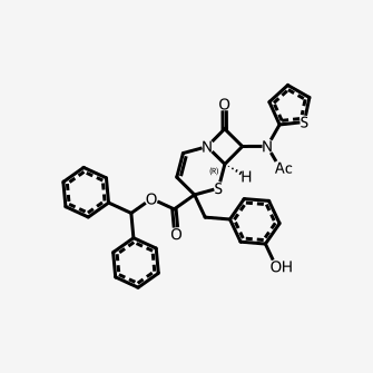 CC(=O)N(c1cccs1)C1C(=O)N2C=CC(Cc3cccc(O)c3)(C(=O)OC(c3ccccc3)c3ccccc3)S[C@H]12